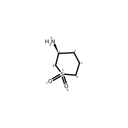 N[C@H]1CCCS(=O)(=O)C1